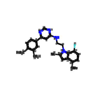 CCOC(=O)c1ccc(-c2cc(NCCn3c(C#N)cc4c(OC)ccc(F)c43)ncn2)cc1C(=O)O